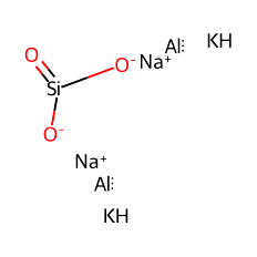 O=[Si]([O-])[O-].[Al].[Al].[KH].[KH].[Na+].[Na+]